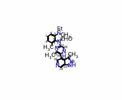 CCN(C)c1cccc(C)c1N(C=O)C1=NC(C)=C(c2cncc3[nH]nc(C)c23)NC1